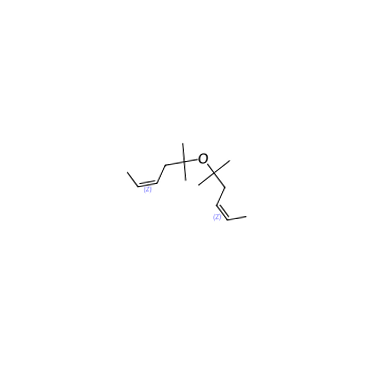 C/C=C\CC(C)(C)OC(C)(C)C/C=C\C